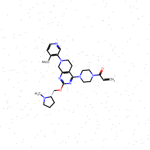 C=CC(=O)N1CCN(c2nc(OC[C@@H]3CCCN3C)nc3c2CCN(c2cnccc2OC)C3)CC1